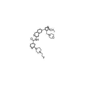 Cn1ncc(-c2ccc3cnc(NC(=O)c4ccnc(N5CCN(CCF)CC5)c4)cc3c2)c1CN1CCOCC1